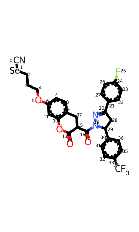 N#C[Se]CCCOc1ccc2c(c1)OC(=O)C(C(=O)N1N=C(c3ccc(F)cc3)CC1c1ccc(C(F)(F)F)cc1)C2